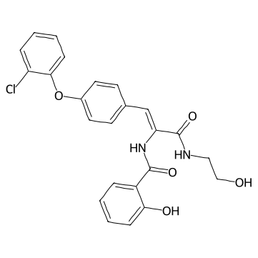 O=C(NCCO)C(=Cc1ccc(Oc2ccccc2Cl)cc1)NC(=O)c1ccccc1O